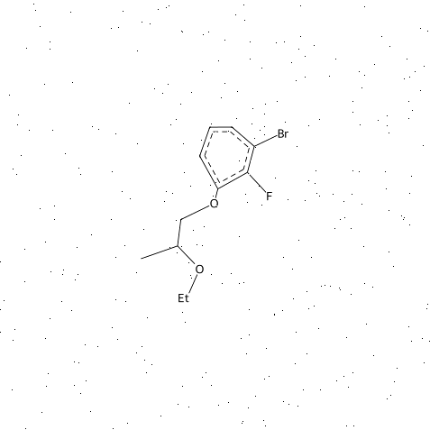 CCOC(C)COc1cccc(Br)c1F